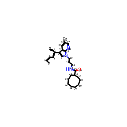 C=C/C(=C\C=C/C)c1cn(CCCNC(=O)C2CCCCCCCC2)c2ncc(CC)cc12